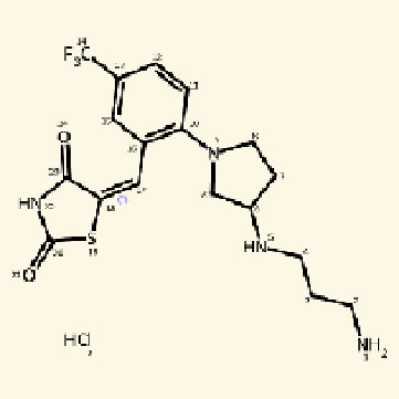 Cl.NCCCNC1CCN(c2ccc(C(F)(F)F)cc2/C=C2/SC(=O)NC2=O)C1